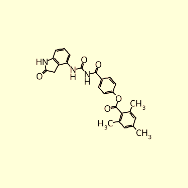 Cc1cc(C)c(C(=O)Oc2ccc(C(=O)NC(=O)Nc3cccc4c3CC(=O)N4)cc2)c(C)c1